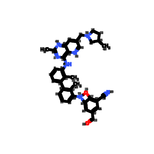 Cc1nc(Nc2cccc(-c3cccc(-n4oc5c(C#N)cc(C=O)cc54)c3C)c2C)c2ncc(CN3CCC(C)C3)cc2n1